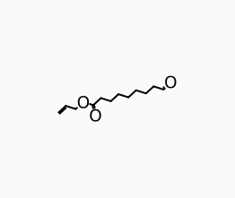 C=CCOC(=O)CCCCCCCC=O